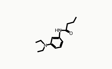 CCCC(=O)Nc1cccc(N(CC)CC)c1